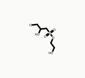 O=S(=O)(CC(O)CCl)OCCO